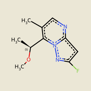 CO[C@@H](C)c1c(C)cnc2cc(F)nn12